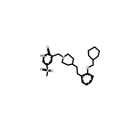 CS(=O)(=O)c1c[nH]c(=O)c(CN2CCC(CCc3ccccc3OCC3CCCCC3)CC2)c1